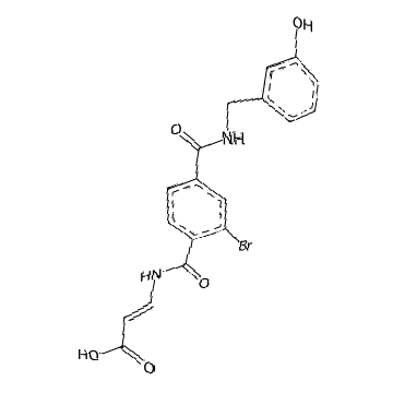 O=C(O)C=CNC(=O)c1ccc(C(=O)NCc2cccc(O)c2)cc1Br